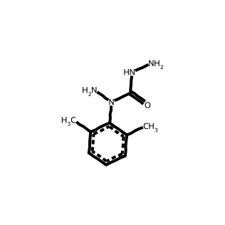 Cc1cccc(C)c1N(N)C(=O)NN